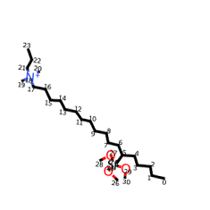 CCCCCC(CCCCCCCCCCCC[N+](C)(C)CCC)[Si](OC)(OC)OC